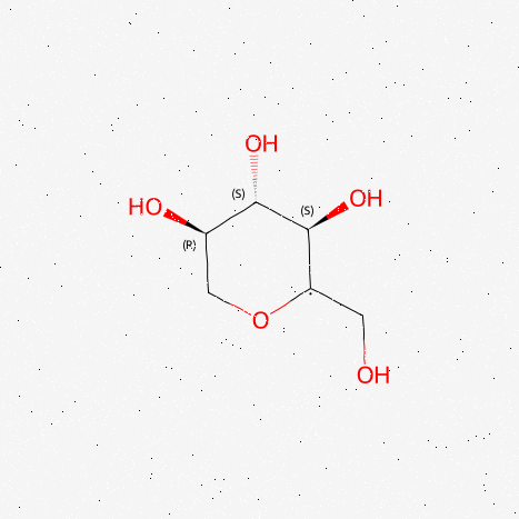 OC[C]1OC[C@@H](O)[C@H](O)[C@H]1O